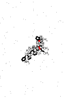 CC[C@H](C)[C@@H]([C@@H](CC(=O)N1CCC[C@H]1[C@H](OC)[C@@H](C)C(=O)N[C@@H](Cc1cccc(N)c1)c1nccs1)OC)N(C)C(=O)[C@@H](NC(=O)[C@@H]1[C@H]2CC[C@@H]([C@H]2C)N1C)C(C)C